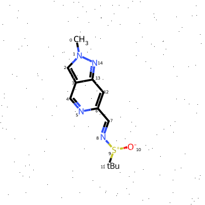 Cn1cc2cnc(/C=N/[S+]([O-])C(C)(C)C)cc2n1